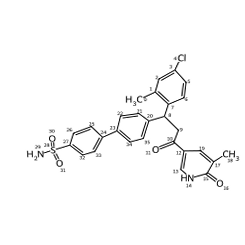 Cc1cc(Cl)ccc1C(CC(=O)c1c[nH]c(=O)c(C)c1)c1ccc(-c2ccc(S(N)(=O)=O)cc2)cc1